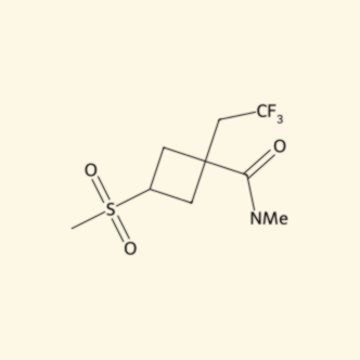 CNC(=O)C1(CC(F)(F)F)CC(S(C)(=O)=O)C1